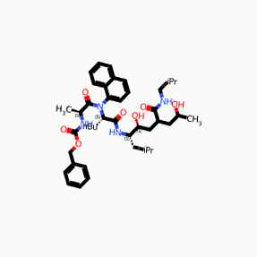 CCCC[C@@H](C(=O)N[C@@H](CC(C)C)[C@@H](O)CC(CC(C)O)C(=O)NCC(C)C)N(C(=O)[C@H](C)NC(=O)OCc1ccccc1)c1cccc2ccccc12